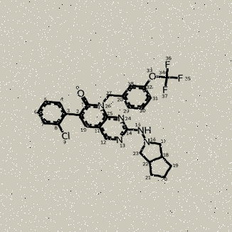 O=c1c(-c2ccccc2Cl)cc2cnc(NN3CC4CCCC4C3)nc2n1Cc1cccc(OC(F)(F)F)c1